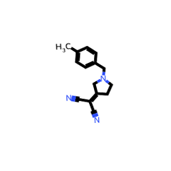 Cc1ccc(CN2CCC(=C(C#N)C#N)C2)cc1